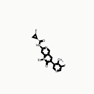 CCn1c(=O)c(-c2cncc(F)c2C)cc2cnc(NC(=O)[C@@H]3C[C@@H]3F)cc21